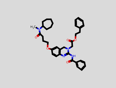 CN(C(=O)CCCOc1ccc2c(c1)CN(CC(=O)OCCc1ccccc1)C(NC(=O)c1ccccc1)=N2)C1CCCCCC1